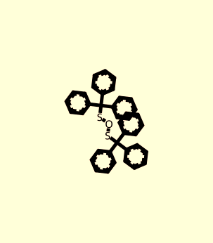 c1ccc(C(SOSC(c2ccccc2)(c2ccccc2)c2ccccc2)(c2ccccc2)c2ccccc2)cc1